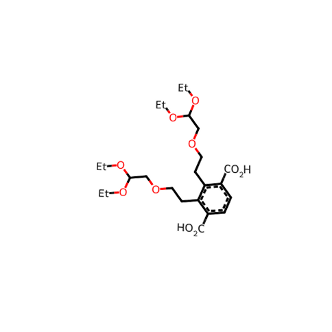 CCOC(COCCc1c(C(=O)O)ccc(C(=O)O)c1CCOCC(OCC)OCC)OCC